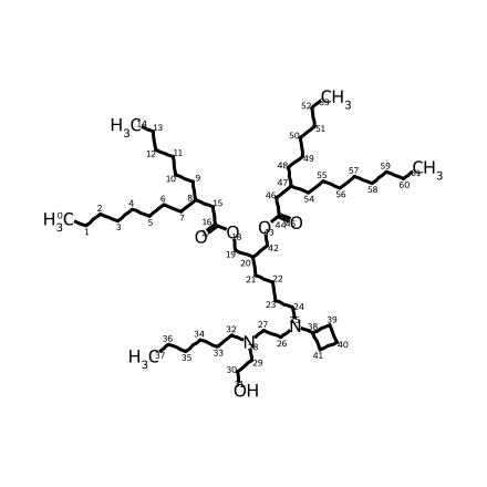 CCCCCCCCC(CCCCCC)CC(=O)OCC(CCCCN(CCN(CCO)CCCCCC)C1CCC1)COC(=O)CC(CCCCCC)CCCCCCCC